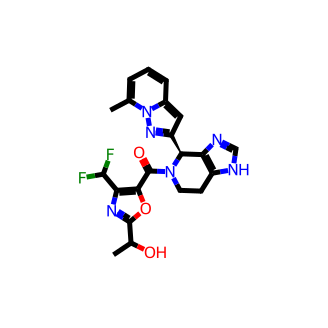 Cc1cccc2cc([C@H]3c4nc[nH]c4CCN3C(=O)c3oc(C(C)O)nc3C(F)F)nn12